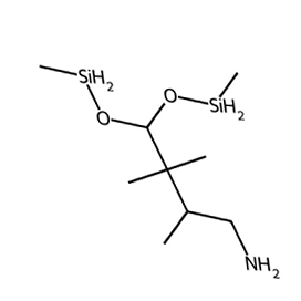 C[SiH2]OC(O[SiH2]C)C(C)(C)C(C)CN